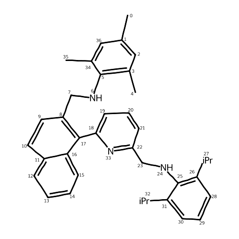 Cc1cc(C)c(NCc2ccc3ccccc3c2-c2cccc(CNc3c(C(C)C)cccc3C(C)C)n2)c(C)c1